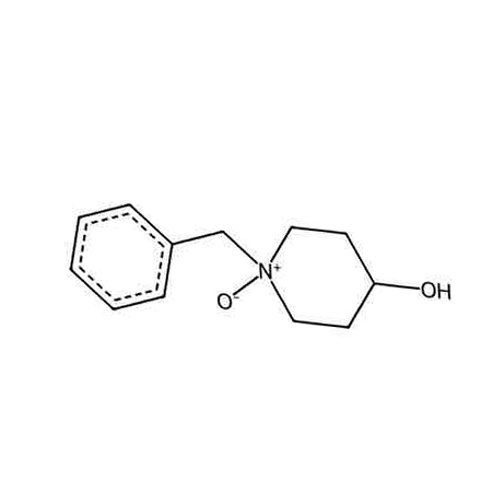 [O-][N+]1(Cc2ccccc2)CCC(O)CC1